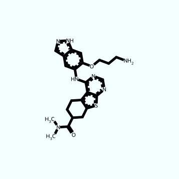 CN(C)C(=O)C1CCc2c(sc3ncnc(Nc4cc5cn[nH]c5cc4OCCCN)c23)C1